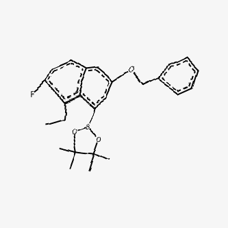 CCc1c(F)ccc2cc(OCc3ccccc3)cc(B3OC(C)(C)C(C)(C)O3)c12